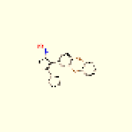 O/N=C1\CCC(C2CCCC2)=C1c1ccc2c(c1)Sc1ccccc1S2